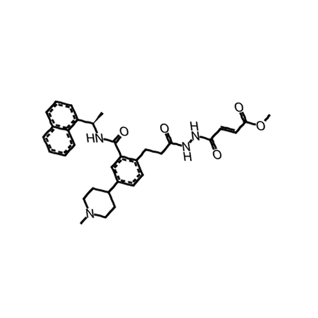 COC(=O)/C=C/C(=O)NNC(=O)CCc1ccc(C2CCN(C)CC2)cc1C(=O)N[C@H](C)c1cccc2ccccc12